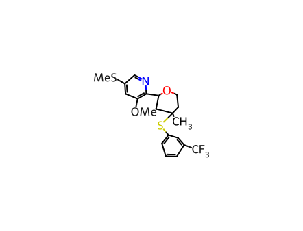 COc1cc(SC)cnc1C1CC(C)(Sc2cccc(C(F)(F)F)c2)CCO1